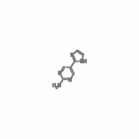 Nc1ncc(-c2ncc[nH]2)cn1